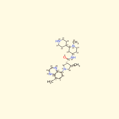 Cc1ccc(N2C[C@H](C(=O)NC3CCN(C)C(C4CCNCC4)C3)[C@@H](C)C2)c2nccnc12